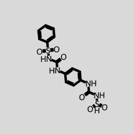 O=C(Nc1ccc(NC(=O)NS(=O)(=O)c2ccccc2)cc1)N[SH](=O)=O